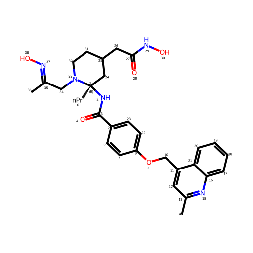 CCC[C@]1(NC(=O)c2ccc(OCc3cc(C)nc4ccccc34)cc2)CC(CC(=O)NO)CCN1CC(C)=NO